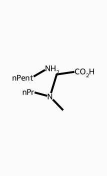 CCCCCN.CCCN(C)CC(=O)O